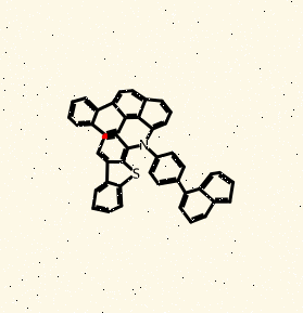 c1ccc2c(-c3ccc(N(c4cccc5c4sc4ccccc45)c4cccc5ccc6c7ccccc7ccc6c45)cc3)cccc2c1